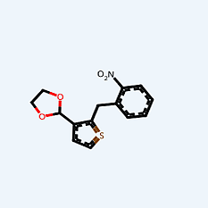 O=[N+]([O-])c1ccccc1Cc1sccc1C1OCCO1